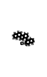 C.c1ccc2c(C3CCCc4c3ccc3c4ccc4ccccc43)cccc2c1